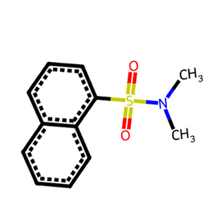 CN(C)S(=O)(=O)c1cccc2ccccc12